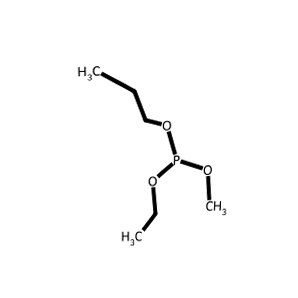 CCCOP(OC)OCC